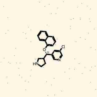 Clc1cncc([C@@H](Oc2cccc3ccccc23)C2CCNC2)c1